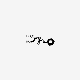 O=C(N[C@@H](C[SeH])C(=O)O)OCc1ccccc1